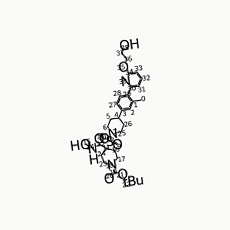 Cc1cc(C2CCN(S(=O)(=O)C3(C(=O)NO)CCN(C(=O)OC(C)(C)C)CC3)CC2)ccc1-c1cccc(OCCO)n1